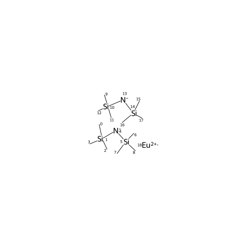 C[Si](C)(C)[N-][Si](C)(C)C.C[Si](C)(C)[N-][Si](C)(C)C.[Eu+2]